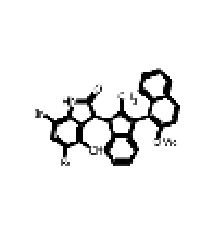 COc1ccc2ccccc2c1C1=C(C)C(C2C(=O)Nc3c(Br)cc(Br)c(C)c32)c2ccccc21